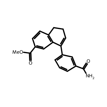 COC(=O)c1ccc2c(c1)C(c1cccc(C(N)=O)c1)=CCC2